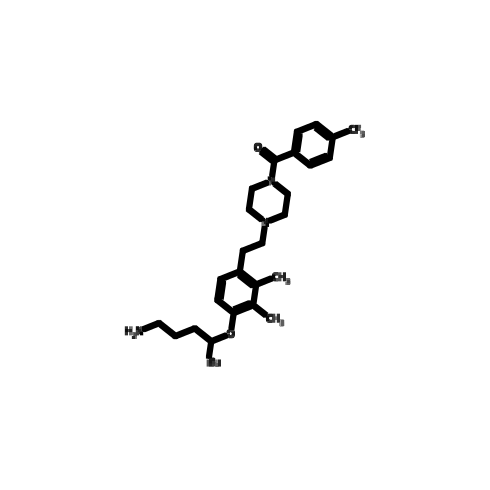 CCC(C)C(CCCN)Oc1ccc(CCN2CCN(C(=O)c3ccc(C(F)(F)F)cc3)CC2)c(C)c1C